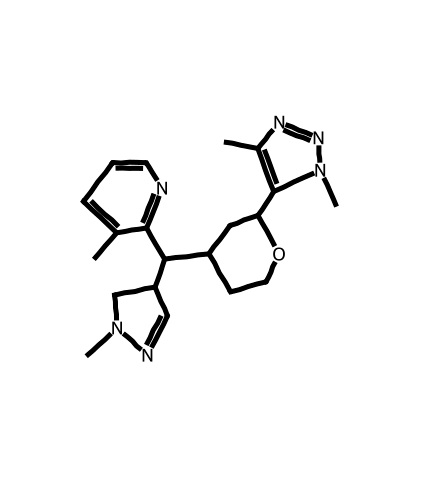 Cc1cccnc1C(C1C=NN(C)C1)C1CCOC(c2c(C)nnn2C)C1